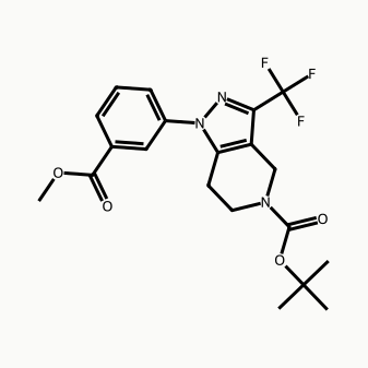 COC(=O)c1cccc(-n2nc(C(F)(F)F)c3c2CCN(C(=O)OC(C)(C)C)C3)c1